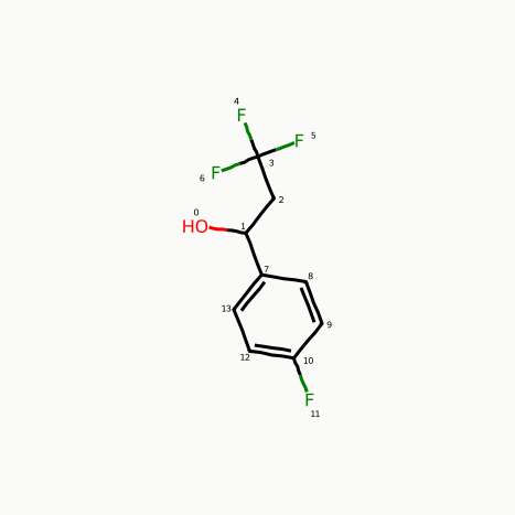 OC(CC(F)(F)F)c1ccc(F)cc1